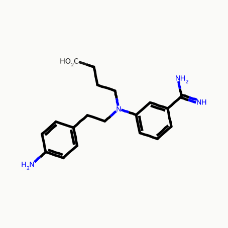 N=C(N)c1cccc(N(CCCC(=O)O)CCc2ccc(N)cc2)c1